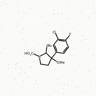 COC1(c2ccc(F)c(Cl)c2)CCN(C(=O)O)C1C(C)(C)C